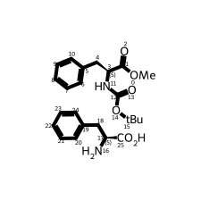 COC(=O)[C@H](Cc1ccccc1)NC(=O)OC(C)(C)C.N[C@@H](Cc1ccccc1)C(=O)O